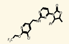 CC(C)C1C(C)OC(=O)N1c1ccnc(NCc2cnc(OCC(F)(F)F)c(Cl)c2)n1